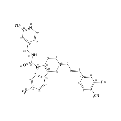 N#Cc1ccc(C=CCN2CCc3c(c4ccc(C(F)(F)F)cc4n3C(=O)NCc3ccnc(Cl)c3)C2)cc1F